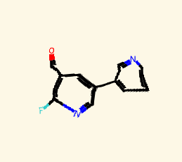 O=Cc1cc(-c2cccnc2)cnc1F